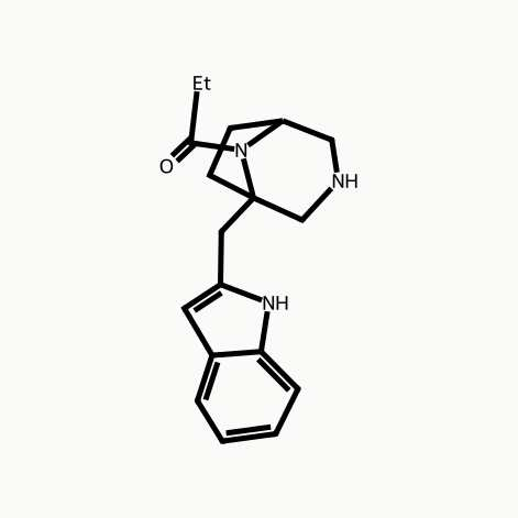 CCC(=O)N1C2CCC1(Cc1cc3ccccc3[nH]1)CNC2